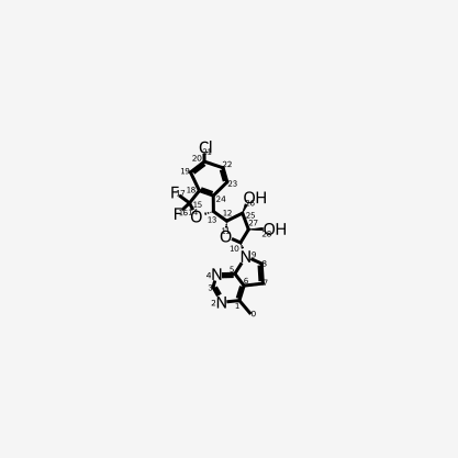 Cc1ncnc2c1ccn2[C@@H]1O[C@H]([C@@H]2OC(F)(F)c3cc(Cl)ccc32)[C@@H](O)[C@H]1O